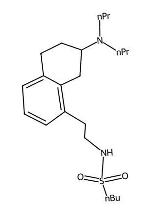 CCCCS(=O)(=O)NCCc1cccc2c1CC(N(CCC)CCC)CC2